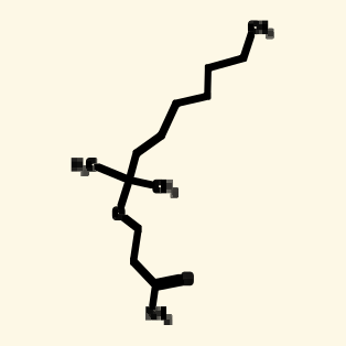 CCCCCCCC(C)(C)OCCC(N)=O